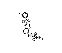 NS(=O)(=O)NC[C@@H]1CCCc2cc(S(=O)(=O)c3cccc(F)c3)ccc21